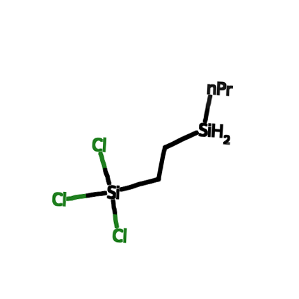 CCC[SiH2]CC[Si](Cl)(Cl)Cl